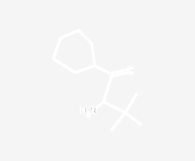 CC(C)(C)C(N)C(=O)C1CCCCC1